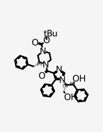 CC(C)(C)OC(=O)N1CCN(C(=O)c2ncn([C@@H](CO)[C@@H](O)c3ccccc3)c2-c2ccccc2)[C@H](Cc2ccccc2)C1